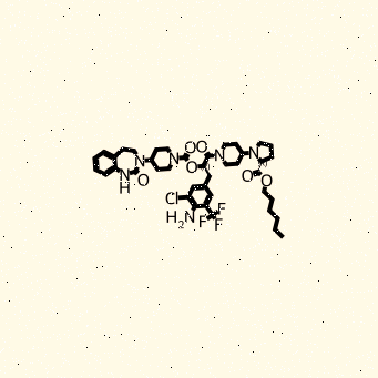 CCCCCCOC(=O)[C@H]1CCCN1C1CCN(C(=O)[C@@H](Cc2cc(Cl)c(N)c(C(F)(F)F)c2)OC(=O)N2CCC(N3CCc4ccccc4NC3=O)CC2)CC1